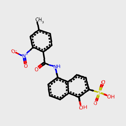 Cc1ccc(C(=O)Nc2cccc3c(O)c(S(=O)(=O)O)ccc23)c([N+](=O)[O-])c1